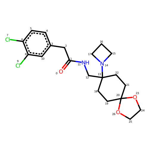 O=C(Cc1ccc(Cl)c(Cl)c1)NCC1(N2CCC2)CCC2(CC1)OCCO2